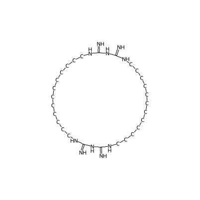 N=C1NCCCCCCCCCCCCNC(=N)NC(=N)NCCCCCCCCCCCCNC(=N)N1